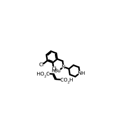 CCCCN(Cc1cccc(Cl)c1Cl)C1CCNCC1.O=C(O)C=CC(=O)O